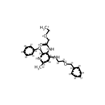 CCOCC(=O)Nc1c(NCCOCc2ccccc2)cc(C)nc1Oc1ccccc1